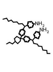 CCCCCCCCC(c1ccc(N)cc1)c1ccc(C2(c3ccc(C(CCCCCCCC)c4ccc(N)cc4)cc3)CCC(CCC)CC2)cc1